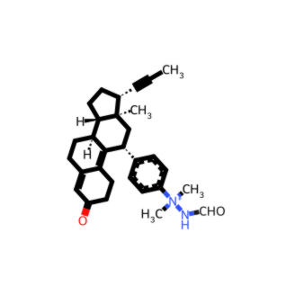 CC#C[C@H]1CC[C@H]2[C@@H]3CCC4=CC(=O)CCC4=C3[C@@H](c3ccc([N+](C)(C)NC=O)cc3)C[C@]12C